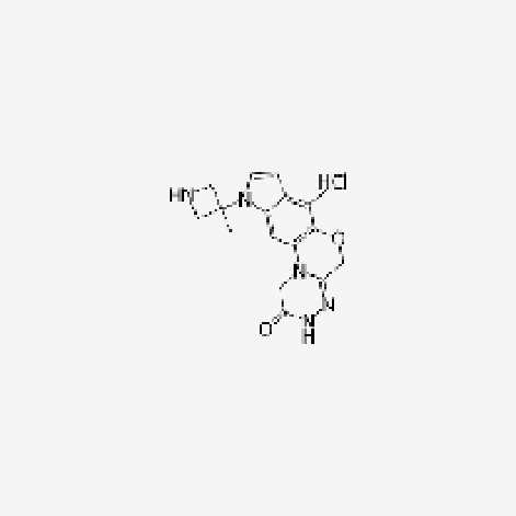 Cc1c2c(cc3c1ccn3C1(C)CNC1)N1CC(=O)NN=C1CO2.Cl